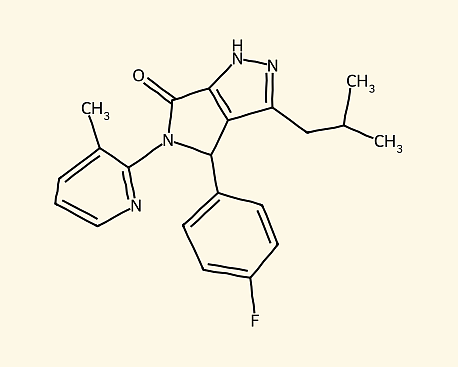 Cc1cccnc1N1C(=O)c2[nH]nc(CC(C)C)c2C1c1ccc(F)cc1